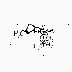 CNC(=O)[C@H](CC1CCC(C)CC1)NC(=O)OC(C)(C)C